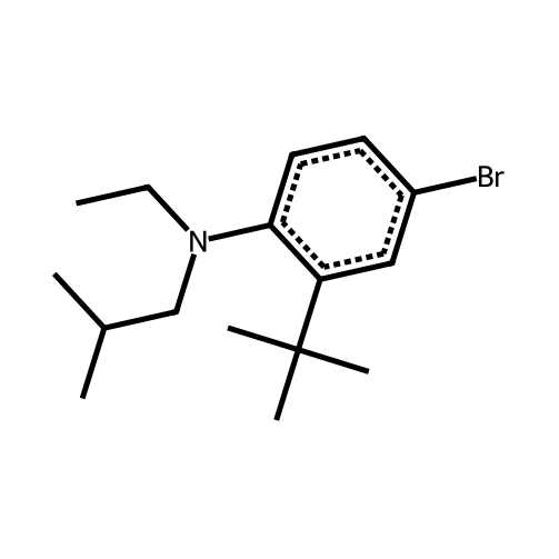 CCN(CC(C)C)c1ccc(Br)cc1C(C)(C)C